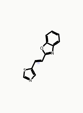 C(=C\c1cncs1)/c1nc2ccccc2o1